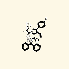 C=CC1[C@H](c2ccc(F)cc2)CN(C(=O)[C@H](C)N)[C@H]1C(=O)NC(c1ccccc1)c1ccccc1